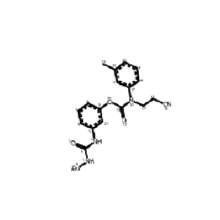 CCC(C)NC(=O)Nc1cccc(OC(=O)N(CCC#N)c2cccc(C)c2)c1